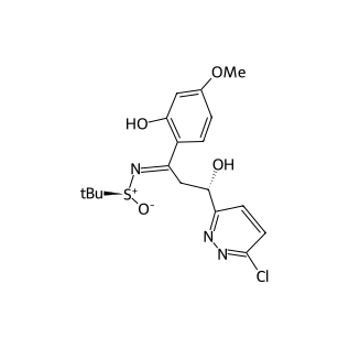 COc1ccc(/C(C[C@H](O)c2ccc(Cl)nn2)=N/[S@@+]([O-])C(C)(C)C)c(O)c1